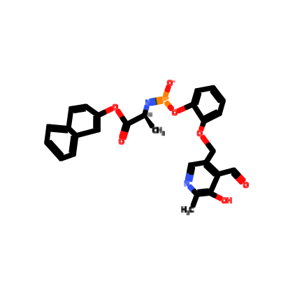 Cc1ncc(COc2ccccc2O[P+]([O-])=N[C@@H](C)C(=O)Oc2ccc3ccccc3c2)c(C=O)c1O